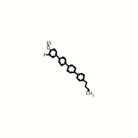 C=CCCc1ccc(-c2ccc(-c3ccc(-c4ccc(OCC)c(F)c4)cc3)cc2)cc1